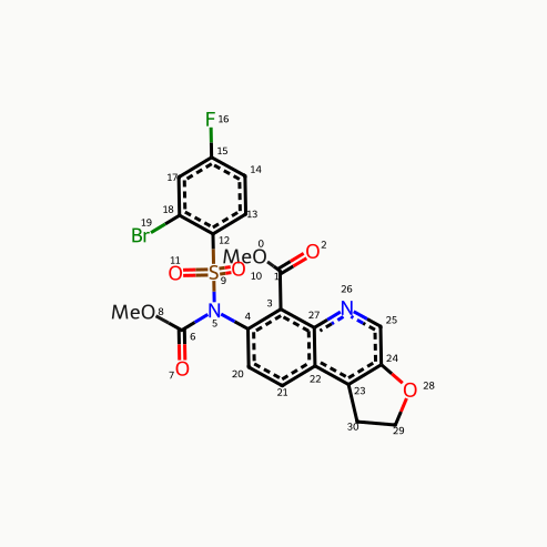 COC(=O)c1c(N(C(=O)OC)S(=O)(=O)c2ccc(F)cc2Br)ccc2c3c(cnc12)OCC3